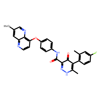 COc1cnc2c(Oc3ccc(NC(=O)c4n[nH]c(C)c(-c5ccc(F)cc5C)c4=O)cc3)ccnc2c1